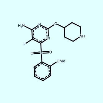 COc1ccccc1S(=O)(=O)c1nc(OC2CCNCC2)nc(N)c1F